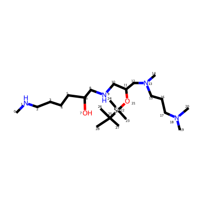 CNCCCCC(O)CNCC(CN(C)CCCN(C)C)O[Si](C)(C)C(C)(C)C